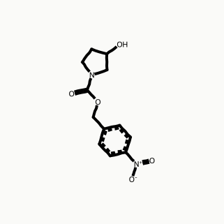 O=C(OCc1ccc([N+](=O)[O-])cc1)N1CCC(O)C1